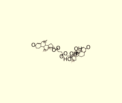 C[C@@H]1CC2=CC(=O)CCC2C2C1C1CC[C@H](OC(=O)CCC(=O)OCC(O)[C@@]3(O)[C@@H](C)CC4C5CCC6=CC(=O)C=C[C@]6(C)[C@@]5(F)[C@@H](O)C[C@@]43C)[C@@]1(C)C[C@@H]2C